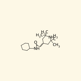 CC1(C)CC(=CC(=O)NC2CCCCC2)CC(C)(C)N1